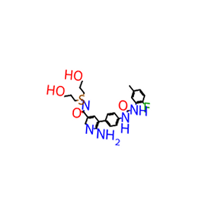 Cc1ccc(F)c(NC(=O)Nc2ccc(-c3cc(C(=O)N=S(CCCO)CCCO)cnc3N)cc2)c1